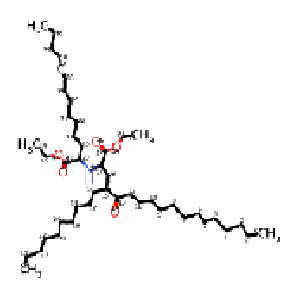 CCCCCCCCCCCCCC(=O)C(CCCCCCCCCC)CC(NC(CCCCCCCCCCCC)C(=O)OCC)C(=O)OCC